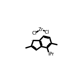 CC1=Cc2c(ccc(C)c2C(C)C)[CH]1.[Cl][Zr][Cl]